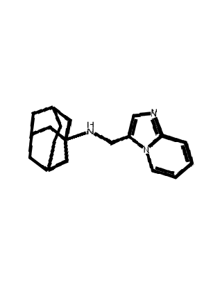 c1ccn2c(CNC34CC5CC(CC(C5)C3)C4)cnc2c1